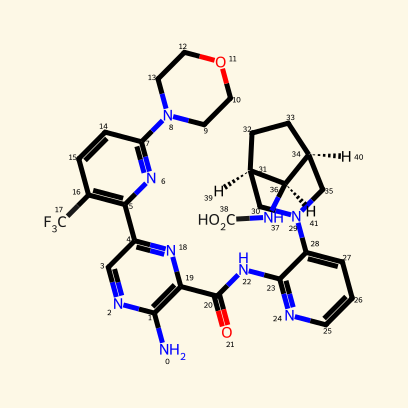 Nc1ncc(-c2nc(N3CCOCC3)ccc2C(F)(F)F)nc1C(=O)Nc1ncccc1N1C[C@H]2CC[C@@H](C1)[C@H]2NC(=O)O